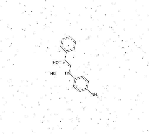 Cl.Nc1ccc(NC[C@H](O)c2ccccc2)cc1